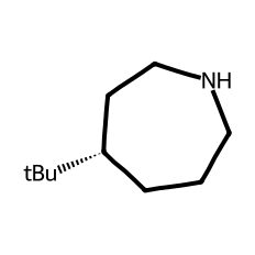 CC(C)(C)[C@H]1CCCNCC1